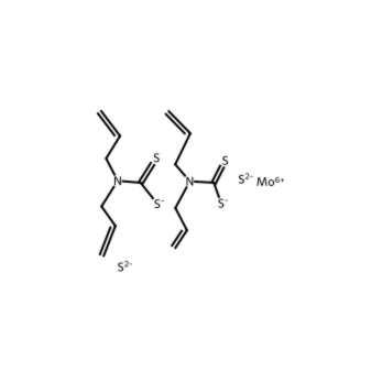 C=CCN(CC=C)C(=S)[S-].C=CCN(CC=C)C(=S)[S-].[Mo+6].[S-2].[S-2]